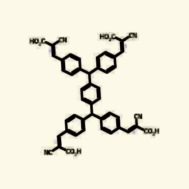 N#C/C(=C/c1ccc(C(c2ccc(/C=C(\C#N)C(=O)O)cc2)c2ccc(C(c3ccc(/C=C(/C#N)C(=O)O)cc3)c3ccc(/C=C(\C#N)C(=O)O)cc3)cc2)cc1)C(=O)O